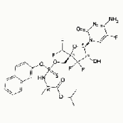 CC(C)OC(=O)[C@H](C)NP(=S)(OC[C@@]1(C(F)F)O[C@@H](n2cc(F)c(N)nc2=O)[C@H](O)C1(F)F)Oc1ccc2ccccc2c1